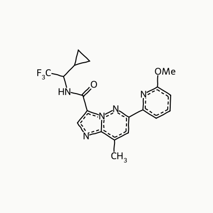 COc1cccc(-c2cc(C)c3ncc(C(=O)NC(C4CC4)C(F)(F)F)n3n2)n1